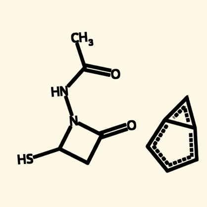 CC(=O)NN1C(=O)CC1S.c1cc2cc-2c1